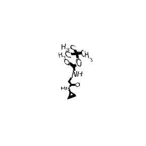 CC(C)(C)OC(=O)NCC(=O)NC1CC1